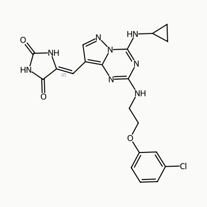 O=C1NC(=O)/C(=C/c2cnn3c(NC4CC4)nc(NCCOc4cccc(Cl)c4)nc23)N1